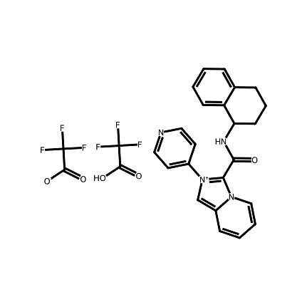 O=C(NC1CCCc2ccccc21)c1n2ccccc2c[n+]1-c1ccncc1.O=C(O)C(F)(F)F.O=C([O-])C(F)(F)F